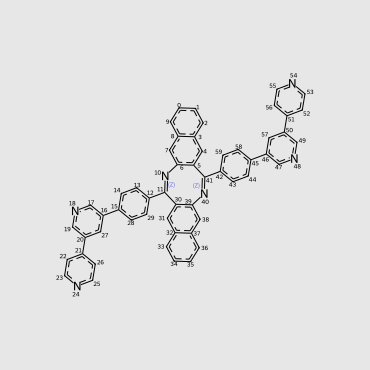 c1ccc2cc3c(cc2c1)/N=C(/c1ccc(-c2cncc(-c4ccncc4)c2)cc1)c1cc2ccccc2cc1/N=C\3c1ccc(-c2cncc(-c3ccncc3)c2)cc1